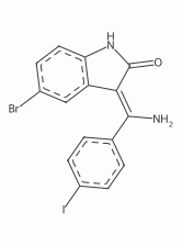 N/C(=C1\C(=O)Nc2ccc(Br)cc21)c1ccc(I)cc1